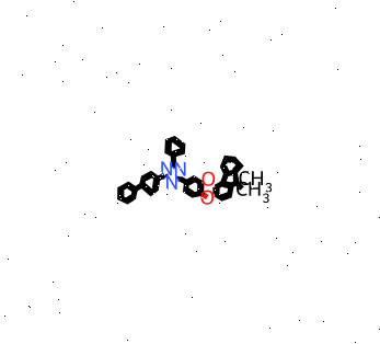 CC1(C)c2ccccc2-c2c1ccc1c2Oc2cc(-c3nc(-c4ccccc4)nc(-c4ccc(-c5ccccc5)cc4)n3)ccc2O1